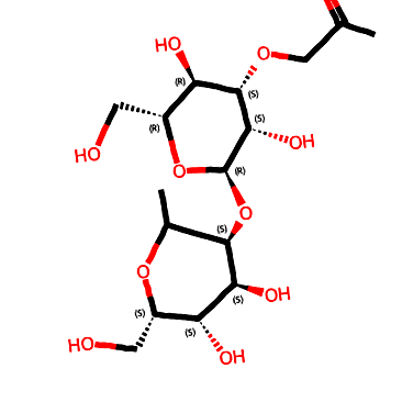 CC(=O)CO[C@@H]1[C@H](O)[C@@H](O[C@@H]2C(C)O[C@@H](CO)[C@@H](O)[C@@H]2O)O[C@H](CO)[C@H]1O